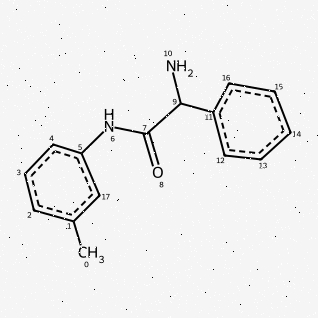 Cc1cccc(NC(=O)C(N)c2ccccc2)c1